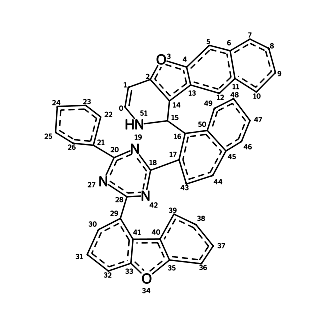 C1=Cc2oc3cc4ccccc4cc3c2C(c2c(-c3nc(-c4ccccc4)nc(-c4cccc5oc6ccccc6c45)n3)ccc3ccccc23)N1